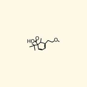 COCCC1=CC=CC(C(=O)O)(C(C)(C)C)C1C